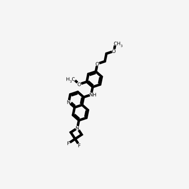 COCCOc1ccc(Nc2ccnc3cc(N4CC(F)(F)C4)ccc23)c(OC)c1